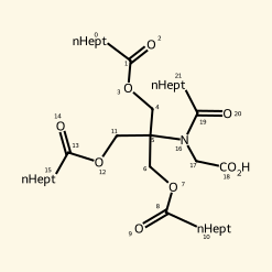 CCCCCCCC(=O)OCC(COC(=O)CCCCCCC)(COC(=O)CCCCCCC)N(CC(=O)O)C(=O)CCCCCCC